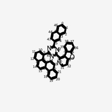 c1ccc2cc(-c3nc(-c4cccc5ccc6c7ccccc7ccc6c45)nc(-c4nccc5oc6ccccc6c45)n3)ccc2c1